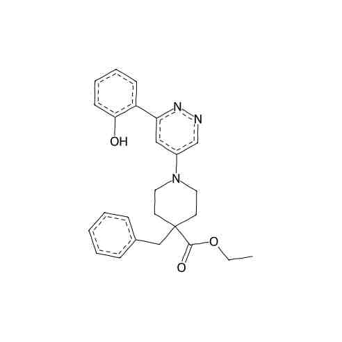 CCOC(=O)C1(Cc2ccccc2)CCN(c2cnnc(-c3ccccc3O)c2)CC1